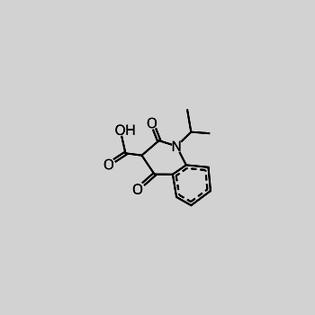 CC(C)N1C(=O)C(C(=O)O)C(=O)c2ccccc21